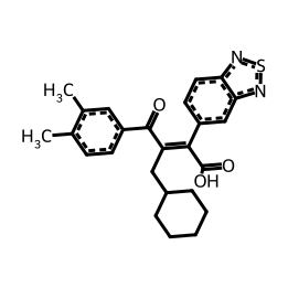 Cc1ccc(C(=O)C(CC2CCCCC2)=C(C(=O)O)c2ccc3nsnc3c2)cc1C